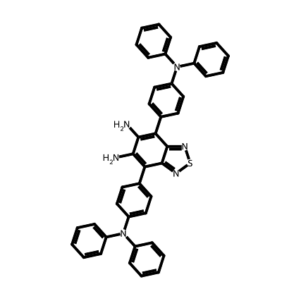 Nc1c(N)c(-c2ccc(N(c3ccccc3)c3ccccc3)cc2)c2nsnc2c1-c1ccc(N(c2ccccc2)c2ccccc2)cc1